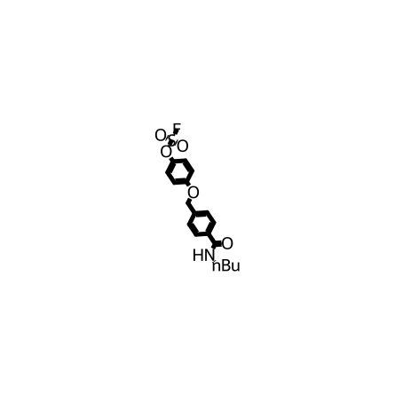 CCCCNC(=O)c1ccc(COc2ccc(OS(=O)(=O)F)cc2)cc1